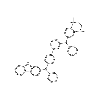 CC1(C)CCC(C)(C)c2cc(N(c3ccccc3)c3cccc(-c4ccc(N(c5ccccc5)c5ccc6c(c5)oc5ccccc56)cc4)c3)ccc21